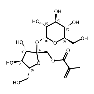 C=C(C)C(=O)OC[C@@]1(O[C@H]2O[C@H](CO)[C@@H](O)[C@H](O)[C@H]2O)O[C@H](CO)[C@@H](O)[C@@H]1O